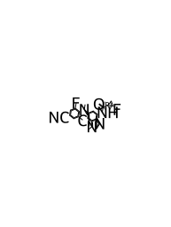 CN(c1cc(NC(=O)[C@H]2CC2F)c2ncn(C)c2c1)c1c(F)cc(C#N)cc1Cl